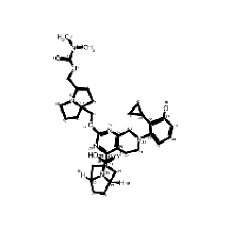 CN(C)C(=O)OCC1CCC2(COc3nc4c(c(N5C[C@H]6CC[C@@H](C5)N6C(=O)O)n3)CCN(c3cccc(Cl)c3C3CC3)C4)CCCN12